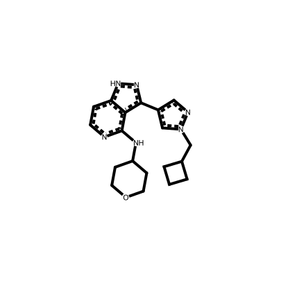 c1cc2[nH]nc(-c3cnn(CC4CCC4)c3)c2c(NC2CCOCC2)n1